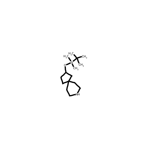 CC(C)(C)[Si](C)(C)OC1CCC2(CCNCC2)C1